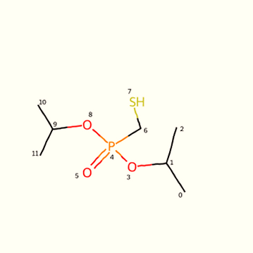 CC(C)OP(=O)(CS)OC(C)C